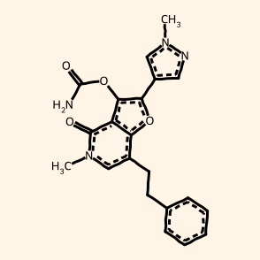 Cn1cc(-c2oc3c(CCc4ccccc4)cn(C)c(=O)c3c2OC(N)=O)cn1